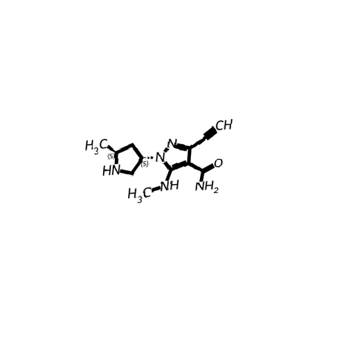 C#Cc1nn([C@@H]2CN[C@@H](C)C2)c(NC)c1C(N)=O